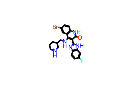 O=c1[nH]c2ccc(Br)cc2c(NCC2CCCNC2)c1-c1nc2ccc(F)cc2[nH]1